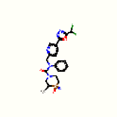 CC1CN(C(=O)N(Cc2ccc(-c3nnc(C(F)F)o3)cn2)c2ccccc2)CCS1(=N)=O